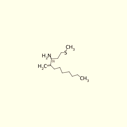 C=C(CCCCCCC)[C@@H](N)CCSC